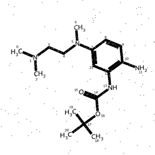 CN(C)CCN(C)c1ccc(N)c(NC(=O)OC(C)(C)C)c1